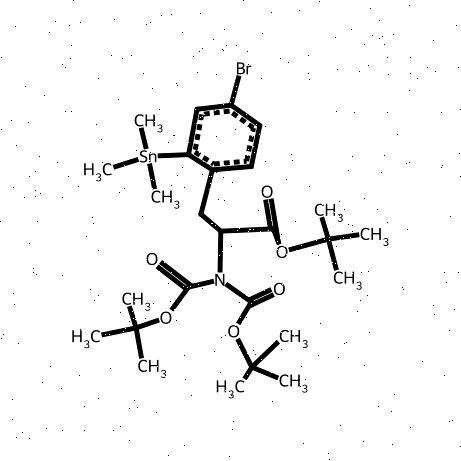 CC(C)(C)OC(=O)C(Cc1ccc(Br)c[c]1[Sn]([CH3])([CH3])[CH3])N(C(=O)OC(C)(C)C)C(=O)OC(C)(C)C